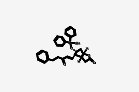 CC(C)(C)[Si](O[C@@H]1C[C@@H]2OC(=O)C[C@@H]2[C@H]1C=CC(=O)CCc1ccccc1)(c1ccccc1)c1ccccc1